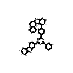 c1ccc(-c2nc(-c3ccc(-c4cccc5oc6ccc7ccccc7c6c45)cc3)nc(-c3ccc4c(c3)sc3ccccc34)n2)cc1